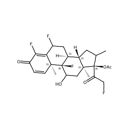 CC(=O)O[C@]1(C(=O)CF)C(C)C[C@H]2[C@@H]3CC(F)C4=C(F)C(=O)C=C[C@]4(C)[C@@]3(F)C(O)C[C@@]21C